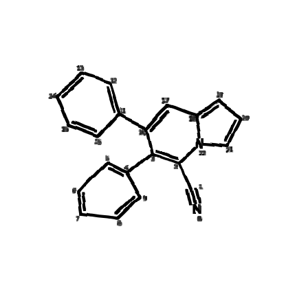 N#Cc1c(-c2ccccc2)c(-c2ccccc2)cc2cccn12